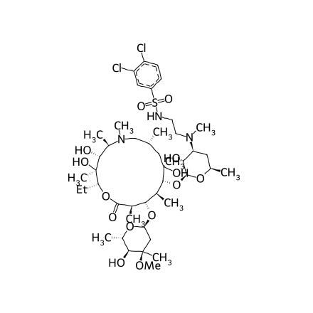 CC[C@H]1OC(=O)[C@H](C)[C@@H](O[C@H]2C[C@@](C)(OC)[C@@H](O)[C@H](C)O2)[C@H](C)[C@@H](O[C@@H]2O[C@H](C)C[C@H](N(C)CCNS(=O)(=O)c3ccc(Cl)c(Cl)c3)[C@H]2O)[C@](C)(O)C[C@@H](C)CN(C)[C@H](C)[C@@H](O)[C@]1(C)O